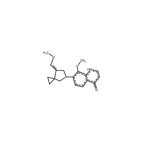 CON=C1CN(c2ccc3c(=O)cc[nH]c3c2OC)CC12CC2